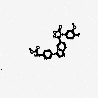 COC(=O)Nc1ccc(-c2cnc3ccc(-c4noc(=O)n4-c4ccc(F)c(OC)c4)cn23)cn1